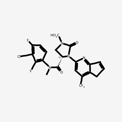 CN(C(=O)[C@@H]1CN(C(=O)O)C(=O)N1c1cc(C(F)(F)F)c2c(n1)C=CC2)c1ccc(F)c(Cl)c1F